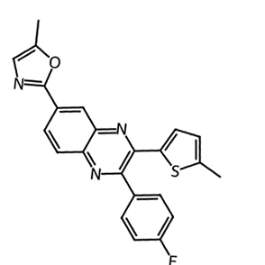 Cc1cnc(-c2ccc3nc(-c4ccc(F)cc4)c(-c4ccc(C)s4)nc3c2)o1